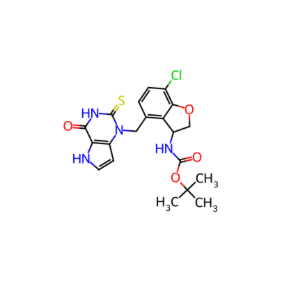 CC(C)(C)OC(=O)NC1COc2c(Cl)ccc(Cn3c(=S)[nH]c(=O)c4[nH]ccc43)c21